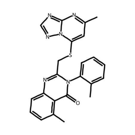 Cc1cc(SCc2nc3cccc(C)c3c(=O)n2-c2ccccc2C)n2ncnc2n1